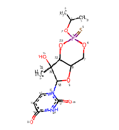 CC(C)OP1(=S)OCC2OC(n3ccc(=O)[nH]c3=O)C(C)(O)C2O1